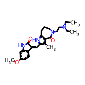 CCN(CC)CCN1CCCc2[nH]c(/C=C3\C(=O)Nc4cc(OC)ccc43)c(C)c2C1=O